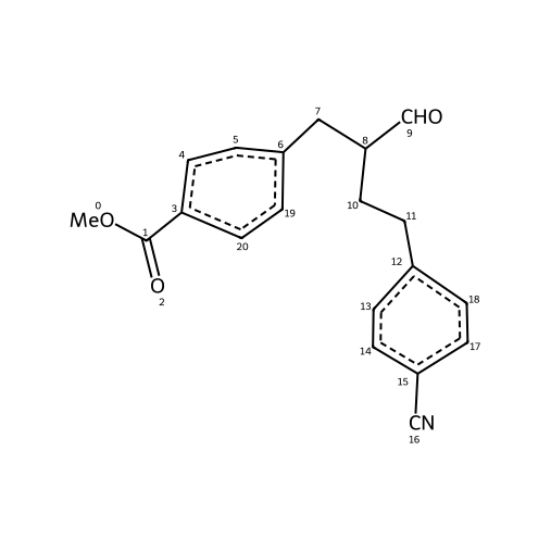 COC(=O)c1ccc(CC(C=O)CCc2ccc(C#N)cc2)cc1